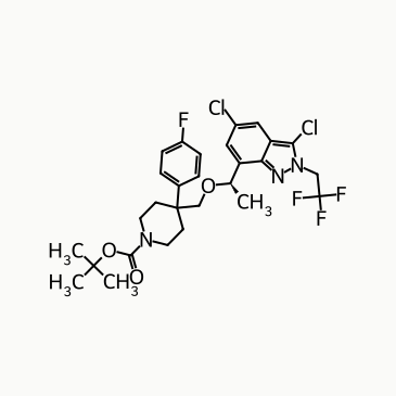 C[C@@H](OCC1(c2ccc(F)cc2)CCN(C(=O)OC(C)(C)C)CC1)c1cc(Cl)cc2c(Cl)n(CC(F)(F)F)nc12